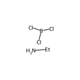 CCN.ClB(Cl)Cl